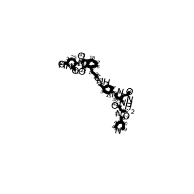 NC(=O)c1nn(-c2ccc(CNCCCc3cccc4c3C(=O)N(C3CCC(=O)NC3=O)C4=O)cc2)cc1NC(=O)c1coc(-c2ccncc2)n1